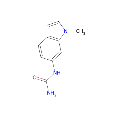 Cn1ccc2ccc(NC(N)=O)cc21